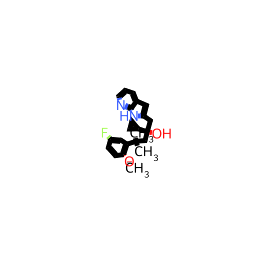 COc1ccc(F)cc1C(C)(C)CC(O)(Cc1cc2cccnc2[nH]1)C1CC1